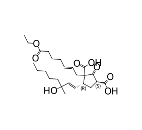 CCCCCC(C)(O)C=C[C@H]1C[C@H](C(=O)O)C(=O)C1(CC=CCCCC(=O)OCC)C(=O)O